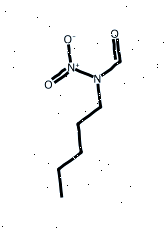 CCCCCN(C=O)[N+](=O)[O-]